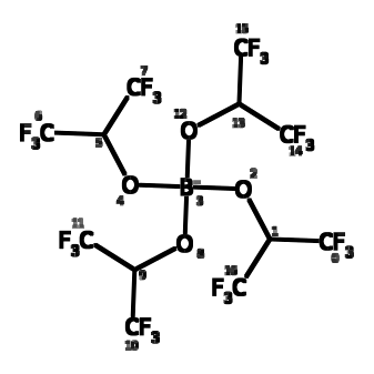 FC(F)(F)C(O[B-](OC(C(F)(F)F)C(F)(F)F)(OC(C(F)(F)F)C(F)(F)F)OC(C(F)(F)F)C(F)(F)F)C(F)(F)F